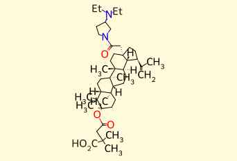 C=C(C)[C@@H]1CC[C@]2(CC(=O)N3CC[C@@H](N(CC)CC)C3)CC[C@]3(C)[C@H](CC[C@@H]4[C@@]5(C)CC[C@H](OC(=O)CC(C)(C)C(=O)O)C(C)(C)[C@@H]5CC[C@]43C)[C@@H]12